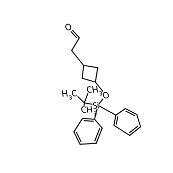 CC(C)(C)[Si](OC1CC(CC=O)C1)(c1ccccc1)c1ccccc1